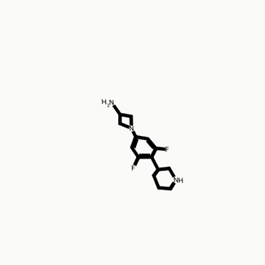 NC1CN(c2cc(F)c(C3CCCNC3)c(F)c2)C1